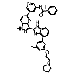 O=C(Nc1cncc(-c2ccc3[nH]nc(-c4nc5c(-c6cc(F)cc(OCCN7CCCC7)c6)cccc5[nH]4)c3n2)c1)c1ccccc1